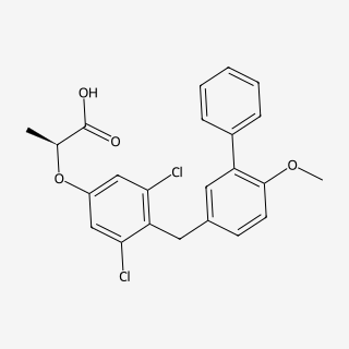 COc1ccc(Cc2c(Cl)cc(O[C@@H](C)C(=O)O)cc2Cl)cc1-c1ccccc1